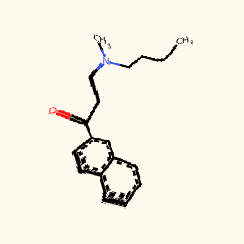 CCCCN(C)CCC(=O)c1ccc2ccccc2c1